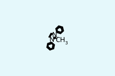 C[C@H]1N(C2=CC=C=C=C2)CCN1c1ccccc1